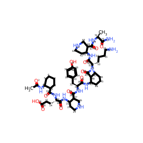 CC(=O)NC1CCCCC1C(=O)N[C@@H](CCC(=O)O)C(=O)NC1CCNCC1C(=O)N[C@@H](Cc1ccc(O)cc1)C(=O)NC1CCCC2C1C(=O)N2[C@@H](CCCCN)C(=O)NC1CCNCC1C(=O)N[C@@H](C)C(N)=O